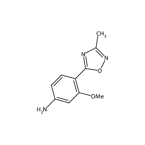 COc1cc(N)ccc1-c1nc(C)no1